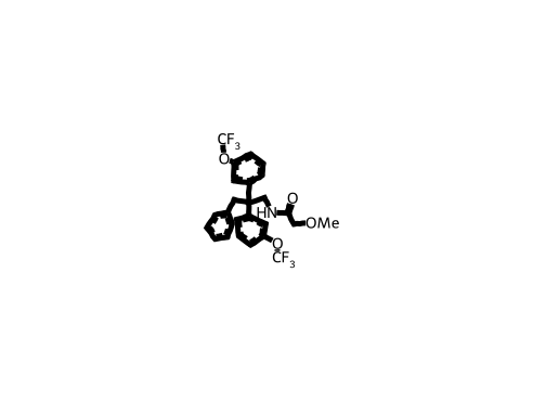 COCC(=O)NCC(Cc1ccccc1)(c1cccc(OC(F)(F)F)c1)c1cccc(OC(F)(F)F)c1